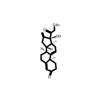 C=C1C[C@H]2[C@@H]3CCC4=CC(=O)CC[C@]4(C)C3=CC[C@]2(C)[C@@]1(O)C(=O)COC(C)=O